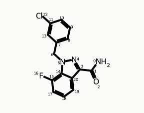 NC(=O)c1nn(Cc2cccc(Cl)c2)c2c(F)cccc12